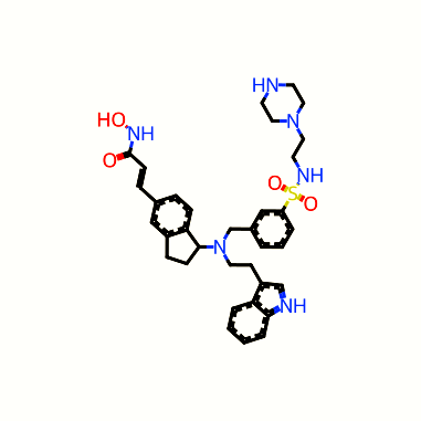 O=C(C=Cc1ccc2c(c1)CCC2N(CCc1c[nH]c2ccccc12)Cc1cccc(S(=O)(=O)NCCN2CCNCC2)c1)NO